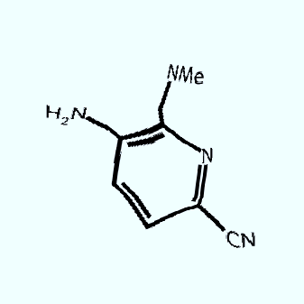 CNc1nc(C#N)ccc1N